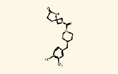 N#Cc1ccc(CC2CCN(C(=O)N3CC4(CCC(=O)N4)C3)CC2)cc1C(F)(F)F